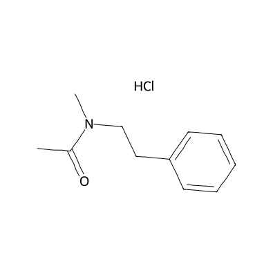 CC(=O)N(C)CCc1ccccc1.Cl